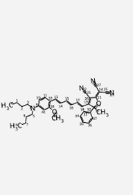 CCCCN(CCCC)c1ccc(/C=C/C=C/C=C/C2=C(C#N)C(=C(C#N)C#N)OC2(C)c2ccccc2)c(OC)c1